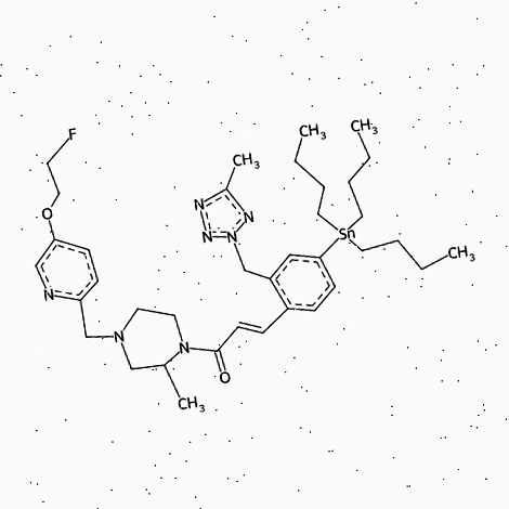 CCC[CH2][Sn]([CH2]CCC)([CH2]CCC)[c]1ccc(/C=C/C(=O)N2CCN(Cc3ccc(OCCF)cn3)CC2C)c(Cn2nnc(C)n2)c1